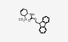 O=C(N[C@H]1CC=CC[C@@H]1C(=O)O)OCC1c2ccccc2-c2ccccc21